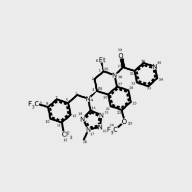 CC[C@@H]1C[C@H](N(Cc2cc(C(F)(F)F)cc(C(F)(F)F)c2)c2nnn(C)n2)c2cc(OC(F)(F)F)ccc2N1C(=O)c1cccnc1